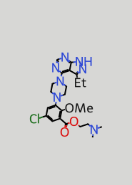 CCc1n[nH]c2ncnc(N3CCN(c4cc(Cl)cc(C(=O)OCCN(C)C)c4OC)CC3)c12